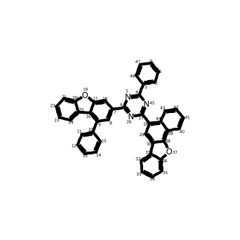 c1ccc(-c2nc(-c3cc(-c4ccccc4)c4c(c3)oc3ccccc34)nc(-c3cc4c5ccccc5oc4c4ccccc34)n2)cc1